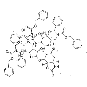 N[C@H]1C[C@H]2NC(=O)O[C@@H]2[C@@H](O[C@@H]2O[C@H](CO)[C@@H](O[C@H]3O[C@@H](CN(C(=O)OCc4ccccc4)C(O)c4ccccc4)C[C@H](O)[C@H]3NC(=O)OCc3ccccc3)[C@H]2O)[C@@H]1O[C@H]1O[C@@H]2CN(C(=O)OCc3ccccc3)C(c3ccccc3)O[C@H]2[C@H](O)[C@H]1NC(=O)OCc1ccccc1